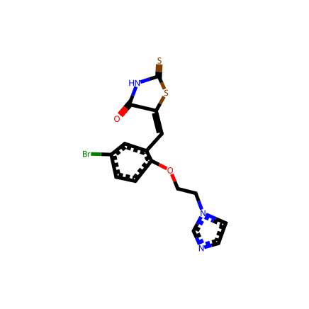 O=C1NC(=S)SC1=Cc1cc(Br)ccc1OCCn1ccnc1